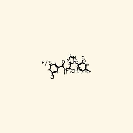 CC(NC(=O)C1=CC(C(F)(F)F)CC(Cl)=C1)c1ncnn1-c1ncc(F)cc1F